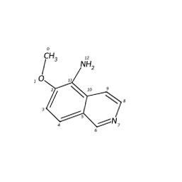 COc1ccc2cnccc2c1N